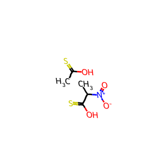 CC(C(O)=S)[N+](=O)[O-].CC(O)=S